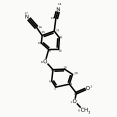 COC(=O)c1ccc(Oc2ccc(C#N)c(C#N)c2)cc1